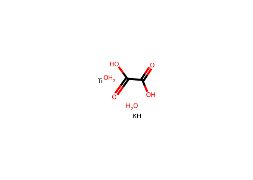 O.O.O=C(O)C(=O)O.[KH].[Ti]